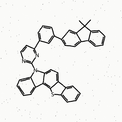 CC1(C)c2ccccc2-c2ccc(-c3cccc(-c4ccnc(-n5c6ccccc6c6c7sc8ccccc8c7ccc65)n4)c3)cc21